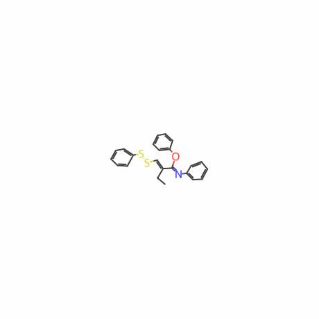 CCC(=C\SSc1ccccc1)/C(=N/c1ccccc1)Oc1ccccc1